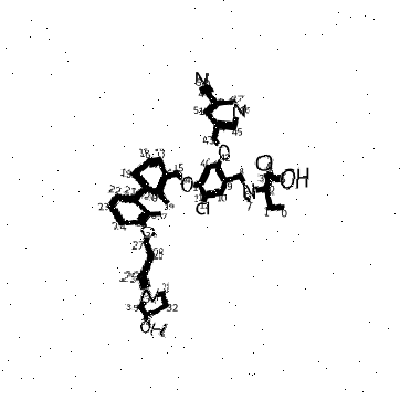 CCC(C(=O)O)N(C)Cc1cc(Cl)c(OCc2cccc(-c3cccc(OCCCN4CCC(O)C4)c3C)c2C)cc1OCc1cncc(C#N)c1